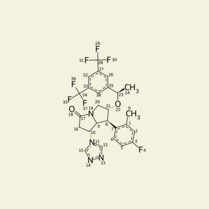 Cc1cc(F)ccc1[C@H]1C2[C@H](n3cnnc3)CC(=O)N2C[C@@H]1O[C@H](C)c1cc(C(F)(F)F)cc(C(F)(F)F)c1